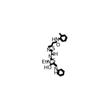 CCN1/C(=N/Nc2ncc(CC(=O)Nc3ccccc3C)s2)S/C(=C/Nc2ccccc2)C1O